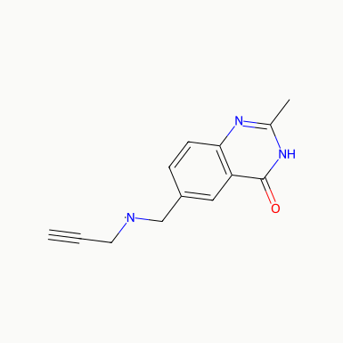 C#CC[N]Cc1ccc2nc(C)[nH]c(=O)c2c1